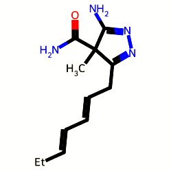 CCC=CC=CCC1=NN=C(N)C1(C)C(N)=O